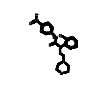 O=[N+]([O-])c1ccc(NC(=S)N(CCN2CCOCC2)c2ncccc2Cl)cc1